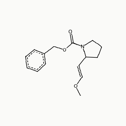 COC=CC1CCCN1C(=O)OCc1ccccc1